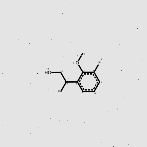 COc1c(F)cccc1[C](C)CO